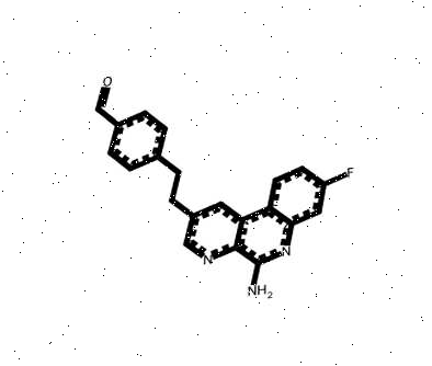 Nc1nc2cc(F)ccc2c2cc(CCc3ccc(C=O)cc3)cnc12